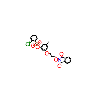 Cc1cc(OCCCON2C(=O)c3ccccc3C2=O)cc(OS(=O)(=O)c2ccccc2Cl)c1